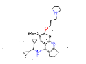 COc1cc2c(NC(C3CC3)C3CC3)c3c(nc2cc1OCCCN1CCCC1)CCC3